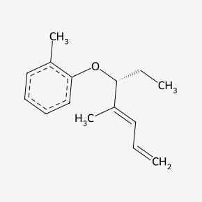 C=C/C=C(\C)[C@@H](CC)Oc1ccccc1C